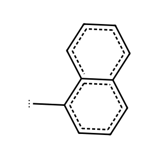 [C]c1cccc2ccccc12